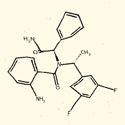 C[C@H](c1cc(F)cc(F)c1)N(C(=O)c1ccccc1N)[C@@H](C(N)=O)c1ccccc1